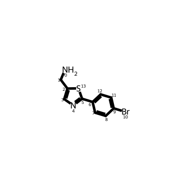 NCc1cnc(-c2ccc(Br)cc2)s1